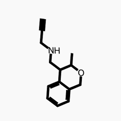 C#CCNCC1c2ccccc2COC1C